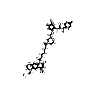 Cc1cnc(NC(=O)Nc2cc(Br)c(C)cc2OC[C@@H]2CN(C(=O)CCCCCC(=O)n3c(=O)cc(C(F)(F)F)c4cc5c(cc43)OCCN5CC(F)(F)F)CCO2)cn1